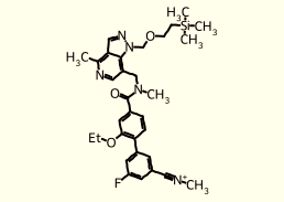 CCOc1cc(C(=O)N(C)Cc2cnc(C)c3cnn(COCC[Si](C)(C)C)c23)ccc1-c1cc(F)cc(C#[N+]C)c1